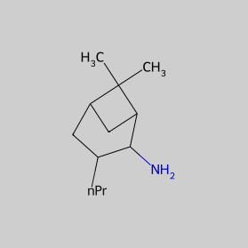 CCCC1CC2CC(C1N)C2(C)C